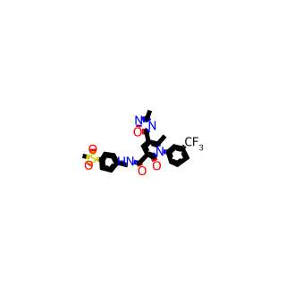 Cc1noc(-c2cc(C(=O)NCc3ccc(S(C)(=O)=O)cc3)c(=O)n(-c3cccc(C(F)(F)F)c3)c2C)n1